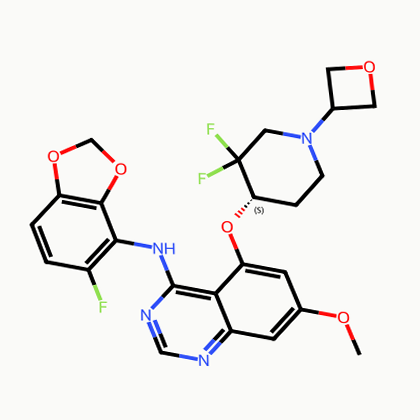 COc1cc(O[C@H]2CCN(C3COC3)CC2(F)F)c2c(Nc3c(F)ccc4c3OCO4)ncnc2c1